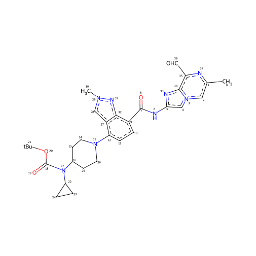 Cc1cn2cc(NC(=O)c3ccc(N4CCC(N(C(=O)OC(C)(C)C)C5CC5)CC4)c4cn(C)nc34)nc2c(C=O)n1